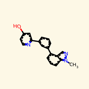 Cn1ncc2c(-c3cccc(-c4cc(O)ccn4)c3)cccc21